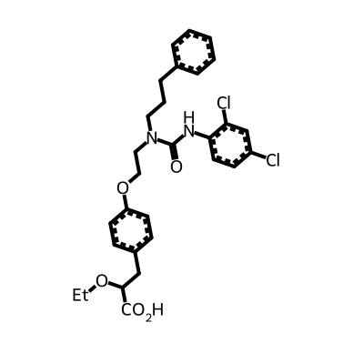 CCOC(Cc1ccc(OCCN(CCCc2ccccc2)C(=O)Nc2ccc(Cl)cc2Cl)cc1)C(=O)O